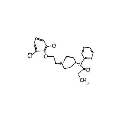 CCC(=O)N(c1ccccc1)C1CCN(CCOc2c(Cl)cccc2Cl)CC1